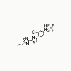 CCCc1nc(-c2nc(-c3ccc(NSC(F)(F)F)cc3Cl)cs2)ns1